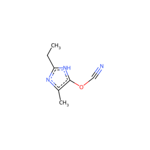 CCc1nc(C)c(OC#N)[nH]1